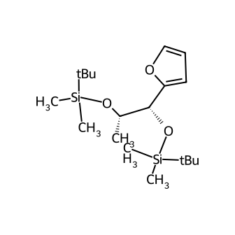 C[C@H](O[Si](C)(C)C(C)(C)C)[C@@H](O[Si](C)(C)C(C)(C)C)c1ccco1